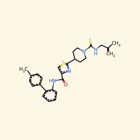 C=C(C)CNC(=S)N1CCC(c2nc(C(=O)Nc3ccccc3-c3ccc(C)cc3)cs2)CC1